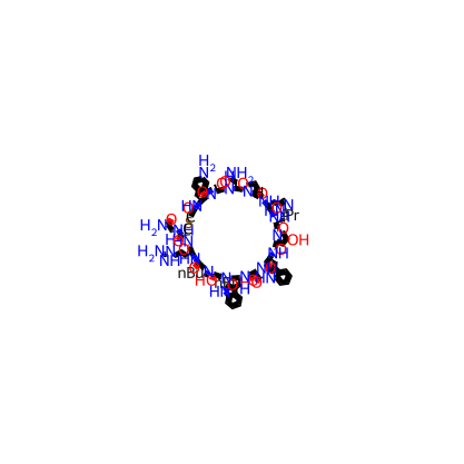 CCCC[C@H]1C(O)N(C)[C@@H](CCCC)C(=O)N[C@@H](CCCNC(=N)N)C(=O)N[C@H](C(=O)NCC(N)=O)CSCC(=O)N[C@@H](Cc2ccc(N)cc2)C(=O)N(C)[C@@H](C)C(=O)N[C@@H](CC(N)=O)C(=O)N2CCC[C@H]2C(=O)N[C@@H](Cc2cnc[nH]2)C(=O)N[C@@H](CC(C)C)C(=O)N2C[C@H](O)CC2C(=O)N[C@@H](Cc2c[nH]c3ccccc23)C(=O)N[C@@H](CO)C(=O)N[C@@H](Cc2c[nH]c3ccccc23)C(=O)N1C